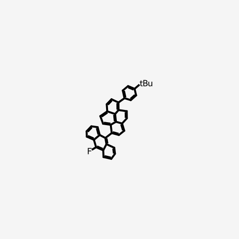 CC(C)(C)c1ccc(-c2ccc3ccc4c(-c5c6ccccc6c(F)c6ccccc56)ccc5ccc2c3c54)cc1